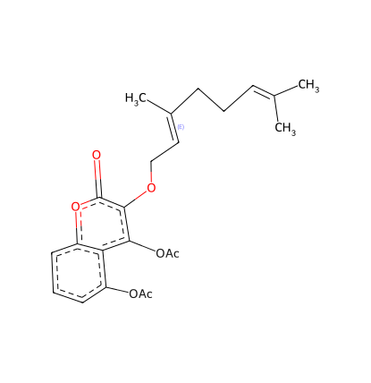 CC(=O)Oc1cccc2oc(=O)c(OC/C=C(\C)CCC=C(C)C)c(OC(C)=O)c12